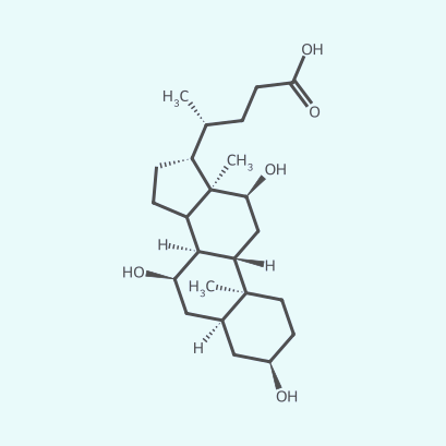 C[C@H](CCC(=O)O)[C@H]1CCC2[C@@H]3[C@H](O)C[C@@H]4C[C@H](O)CC[C@]4(C)[C@H]3C[C@H](O)[C@@]21C